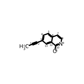 CC#Cc1ccc2ccnc([O])c2c1